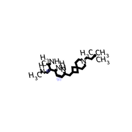 CN/C=C(\C(C)=N)C(=N)/C=C\C(=N)CC1CC2(CCN(CCC(C)(C)C)CC2)C1